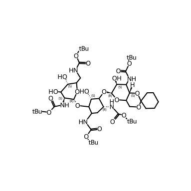 CC(C)(C)OC(=O)NCC1O[C@H](OC2C(NC(=O)OC(C)(C)C)C[C@@H](NC(=O)OC(C)(C)C)C(O[C@@H]3OC4COC5(CCCCC5)O[C@H]4C(NC(=O)OC(C)(C)C)[C@@H]3O)[C@H]2O)[C@@H](NC(=O)OC(C)(C)C)C(O)[C@@H]1O